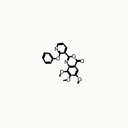 COc1cc2c(=O)oc(-c3cccnc3Oc3ccccc3)nc2c(OC)c1OC